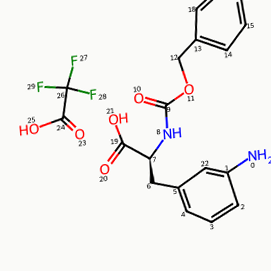 Nc1cccc(C[C@H](NC(=O)OCc2ccccc2)C(=O)O)c1.O=C(O)C(F)(F)F